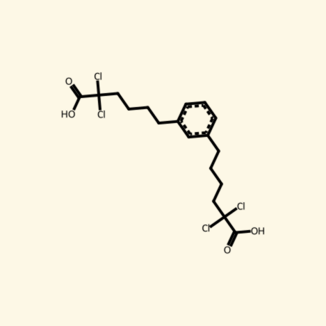 O=C(O)C(Cl)(Cl)CCCCc1cccc(CCCCC(Cl)(Cl)C(=O)O)c1